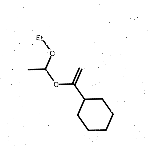 C=C(OC(C)OCC)C1CCCCC1